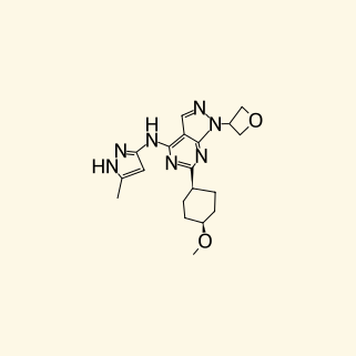 CO[C@H]1CC[C@@H](c2nc(Nc3cc(C)[nH]n3)c3cnn(C4COC4)c3n2)CC1